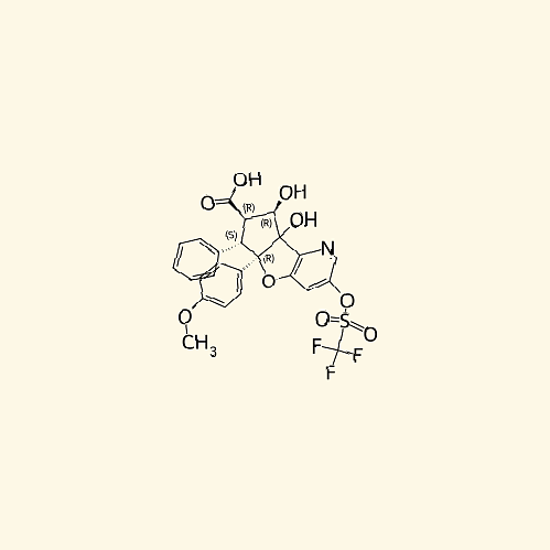 COc1ccc([C@@]23Oc4cc(OS(=O)(=O)C(F)(F)F)cnc4C2(O)[C@H](O)[C@H](C(=O)O)[C@H]3c2ccccc2)cc1